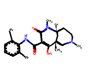 CC(C)c1cccc(C(C)C)c1NC(=O)C1=C(O)[C@@]2(C)CN(C)CC[C@@H]2N(C)C1=O